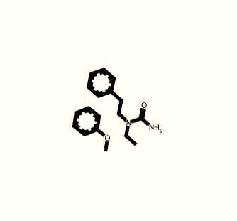 CCN(CCc1ccccc1)C(N)=O.COc1ccccc1